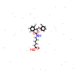 Cc1ccccc1CC(OC(=O)NCCCCCC(=O)O)c1ccccc1C